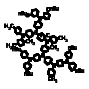 CCCCOc1cccc(N(c2ccc(N(c3ccc(N(c4ccc(C)cc4)c4cc(C)ccc4C)cc3)c3ccc(N(c4ccc(N(c5ccc(N(c6ccc(CCCC)cc6)c6ccc(CCCC)cc6)cc5)c5ccc(N(c6ccc(C)cc6)c6ccc(N(c7ccc(CCCC)cc7)c7ccc(CCCC)cc7)cc6)cc5)cc4)c4c(C)cc(C)cc4C)cc3)cc2)c2cccc(OCCCC)c2)c1